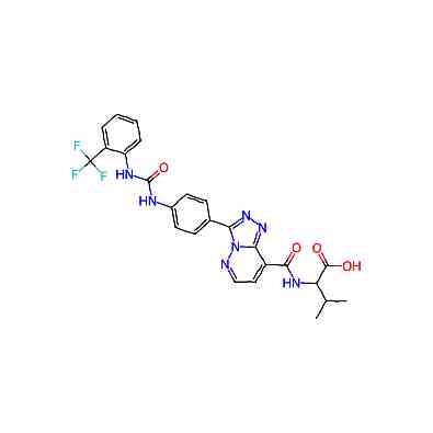 CC(C)C(NC(=O)c1ccnn2c(-c3ccc(NC(=O)Nc4ccccc4C(F)(F)F)cc3)nnc12)C(=O)O